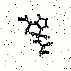 COC(=O)NS(=O)(=O)c1ccsc1C(=O)OC